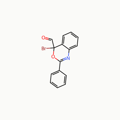 O=CC1(Br)OC(c2ccccc2)=Nc2ccccc21